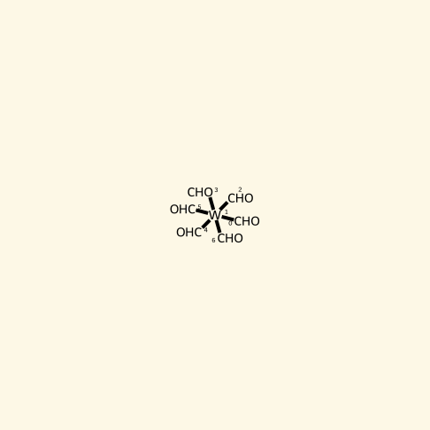 O=[CH][W]([CH]=O)([CH]=O)([CH]=O)([CH]=O)[CH]=O